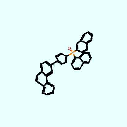 O=P(c1ccc(-c2ccc3ccc4ccccc4c3c2)cc1)(c1ccc2ccccc2c1)c1cccc2ccccc12